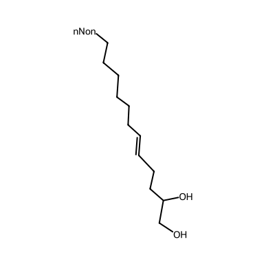 CCCCCCCCCCCCCCCC=CCCC(O)CO